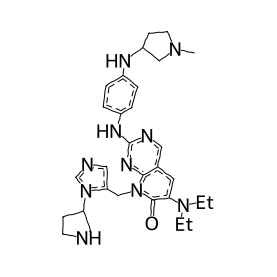 CCN(CC)c1cc2cnc(Nc3ccc(NC4CCN(C)C4)cc3)nc2n(Cc2cncn2C2CCNC2)c1=O